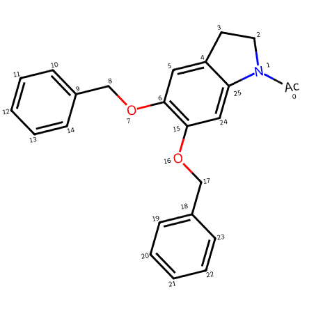 CC(=O)N1CCc2cc(OCc3ccccc3)c(OCc3ccccc3)cc21